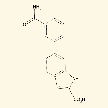 NC(=O)c1cccc(-c2ccc3cc(C(=O)O)[nH]c3c2)c1